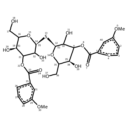 COc1cccc(C(=O)OC2C(O)[C@H](S[C@@H]3OC(CO)[C@H](O)C(OC(=O)c4cccc(OC)c4)C3O)OC(CO)[C@@H]2O)c1